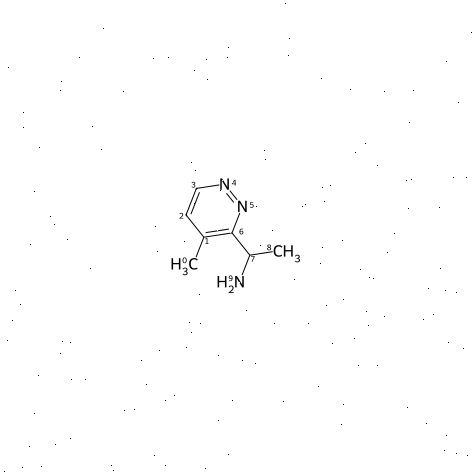 Cc1ccnnc1C(C)N